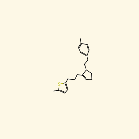 Cc1ccc(CC[C@H]2CCC=C2CCCc2ccc(C)s2)cc1